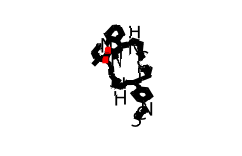 Cc1cc[n+](-c2ccccc2-c2c3nc(cc4ccc([nH]4)c(-c4ccc(N=C=S)cc4)c4nc(cc5ccc2[nH]5)C=C4)C=C3)cc1